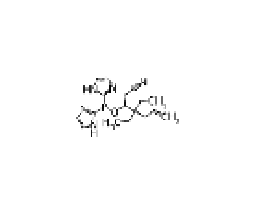 C=CCC(CC)(CC)C(CC#N)OP(c1ncc[nH]1)c1ncc[nH]1